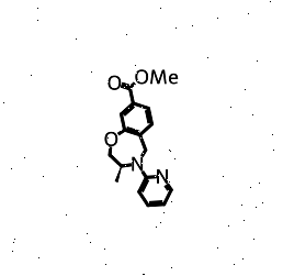 COC(=O)c1ccc2c(c1)OC[C@H](C)N(c1ccccn1)C2